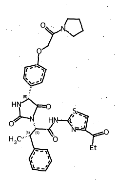 CCC(=O)c1csc(NC(=O)[C@H]([C@@H](C)c2ccccc2)N2C(=O)N[C@H](c3ccc(OCC(=O)N4CCCC4)cc3)C2=O)n1